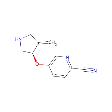 C=C1CNC[C@@H]1Oc1ccc(C#N)nc1